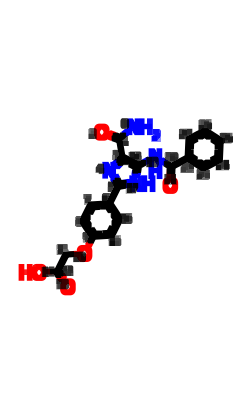 NC(=O)c1nc(-c2ccc(OCC(=O)O)cc2)[nH]c1NC(=O)c1ccccc1